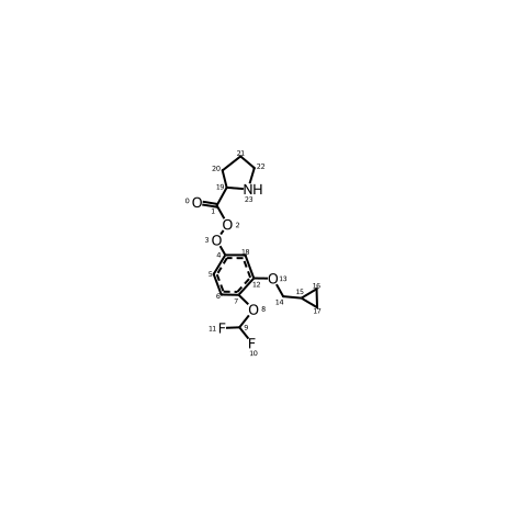 O=C(OOc1ccc(OC(F)F)c(OCC2CC2)c1)C1CCCN1